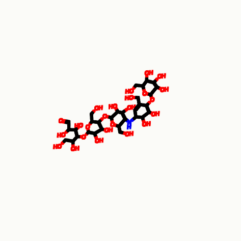 O=CC(O)C(O)C(OC1OC(CO)C(OC2OC(CO)C(NC3C=C(CO)C(OC4OC(CO)C(O)C(O)C4O)C(O)C3O)C(O)C2O)C(O)C1O)C(O)CO